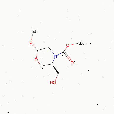 CCO[C@@H]1CN(C(=O)OC(C)(C)C)[C@@H](CO)CO1